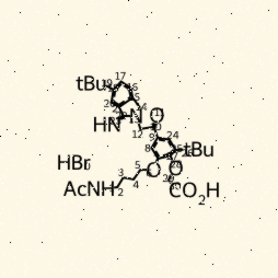 Br.CC(=O)NCCCCOc1cc(C(=O)CN2Cc3ccc(C(C)(C)C)cc3C2=N)cc(C(C)(C)C)c1OCC(=O)O